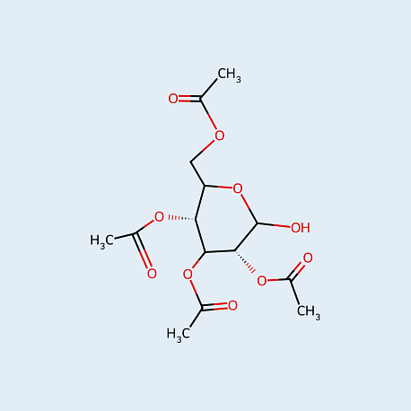 CC(=O)OCC1OC(O)[C@H](OC(C)=O)C(OC(C)=O)[C@@H]1OC(C)=O